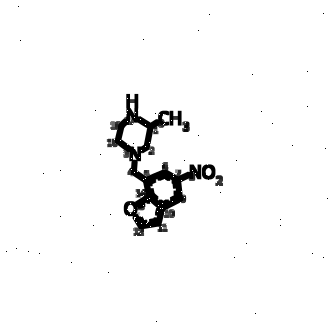 CC1CN(Cc2cc([N+](=O)[O-])cc3ccoc23)CCN1